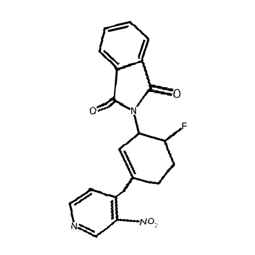 O=C1c2ccccc2C(=O)N1C1C=C(c2ccncc2[N+](=O)[O-])CCC1F